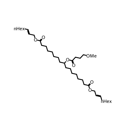 CCCCCC/C=C/COC(=O)CCCCCCCC(CCCCCCCC(=O)OC/C=C/CCCCCC)OC(=O)CCCOC